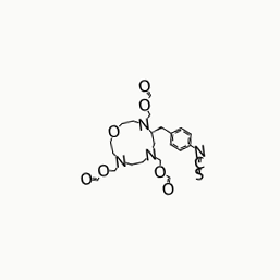 O=COCN1CCOCCN(COC=O)[C@@H](Cc2ccc(N=C=S)cc2)CN(COC=O)CC1